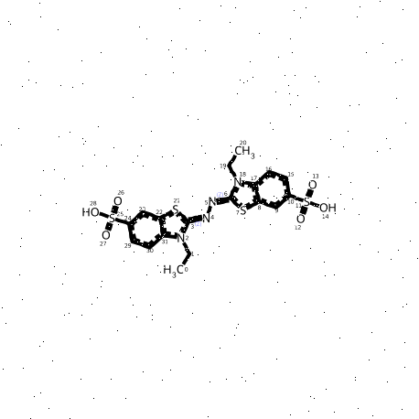 CCn1/c(=N/N=c2\sc3cc(S(=O)(=O)O)ccc3n2CC)sc2cc(S(=O)(=O)O)ccc21